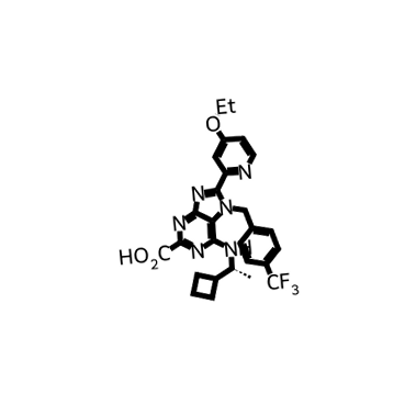 CCOc1ccnc(-c2nc3nc(C(=O)O)nc(N[C@H](C)C4CCC4)c3n2Cc2ccc(C(F)(F)F)cc2)c1